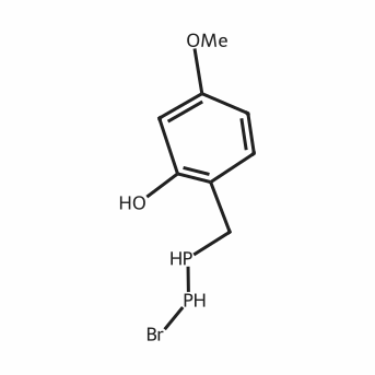 COc1ccc(CPPBr)c(O)c1